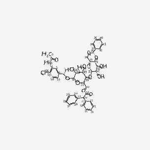 CC(=O)Nc1cc(COC2OC(COC(=O)C(c3ccccc3)c3ccccc3)C(OC3OC4COC(c5ccccc5)OC4C(O)C3O)C(O)C2O)ccc1Cl